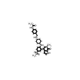 CC(=O)Nc1ccc(CN[C@H]2CC[C@H](Nc3ccc(S(C)(=O)=O)cc3-c3cn(C)c(=O)c4[nH]ccc34)CC2)cc1